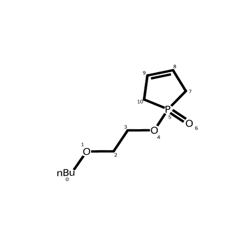 CCCCOCCOP1(=O)CC=CC1